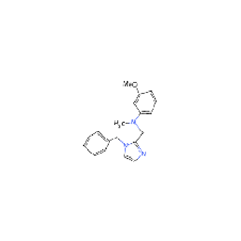 COc1cccc(N(C)Cc2nccn2Cc2ccccc2)c1